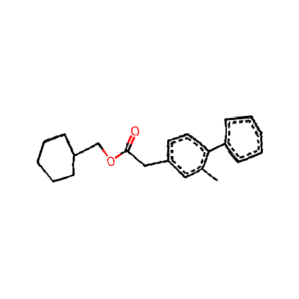 Cc1cc(CC(=O)OCC2CCCCC2)ccc1-c1ccccc1